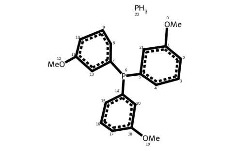 COc1cccc(P(c2cccc(OC)c2)c2cccc(OC)c2)c1.P